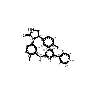 Cc1ccc(N2C(=O)NCC2c2ccc(F)cc2)cc1Nc1nc(-c2ccncc2)cs1